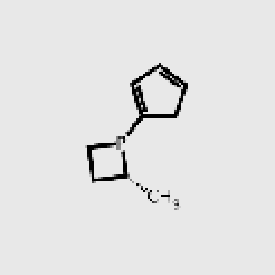 C[C@@H]1CCP1C1=CC=CC1